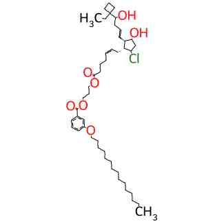 CCCCCCCCCCCCCCCOc1cccc(C(=O)OCCCOC(=O)CCC/C=C\C[C@@H]2[C@@H](/C=C/C[C@H](O)C3(CC)CCC3)[C@H](O)C[C@H]2Cl)c1